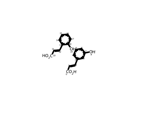 O=C(O)/C=C/c1cccc(O)c1.O=C(O)/C=C/c1ccccc1O